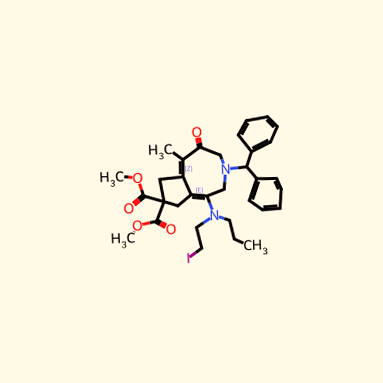 CCCN(CCI)/C1=C2\CC(C(=O)OC)(C(=O)OC)C\C2=C(/C)C(=O)CN(C(c2ccccc2)c2ccccc2)C1